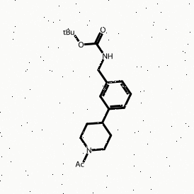 CC(=O)N1CCC(c2cccc(CNC(=O)OC(C)(C)C)c2)CC1